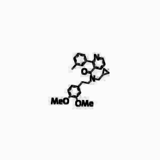 COc1ccc(CCN(CC2CC2)C(=O)c2cccnc2-c2cccc(C)c2)cc1OC